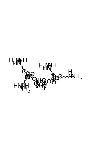 COc1cc(OC)c(C(=O)N[C@H]2CC[C@H](NC(=O)c3ccc(OCCCCCNC(=N)N)cc3OCCCCCNC(=N)N)CC2)cc1C(=O)N[C@H]1CC[C@H](NC(=O)c2ccc(OCCCCCNCN)cc2OCCCCCNC(=N)N)CC1